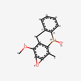 COc1c2c(c(C)c3c1O3)[S+]([O-])c1ccccc1C2